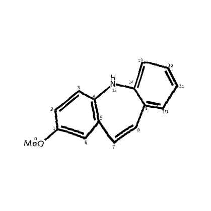 COc1ccc2c(c1)C=Cc1ccccc1N2